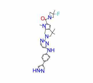 Cn1c(C(=O)N2CC(C)(F)C2)cc2c1CN(c1nccc(Nc3ccc(-c4cn[nH]c4)cc3)n1)CC2(C)C